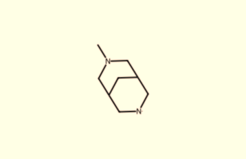 CN1CC2C[N]CC(C2)C1